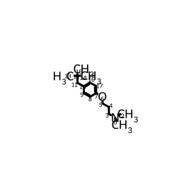 CN(C)CCCOc1ccc(CC(C)(C)C)cc1